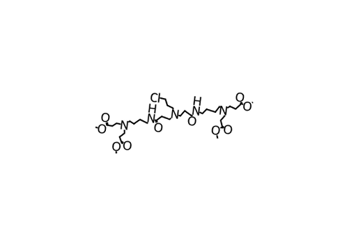 COC(=O)CCN(CCCCNC(=O)CCN(CCCCl)CCC(=O)NCCCCN(CCC(=O)OC)CCC(=O)OC)CCC(=O)OC